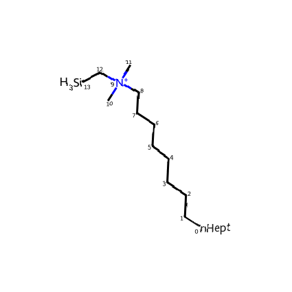 CCCCCCCCCCCCCCC[N+](C)(C)C[SiH3]